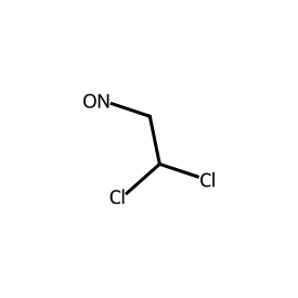 O=NCC(Cl)Cl